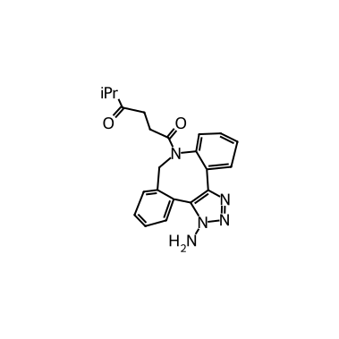 CC(C)C(=O)CCC(=O)N1Cc2ccccc2-c2c(nnn2N)-c2ccccc21